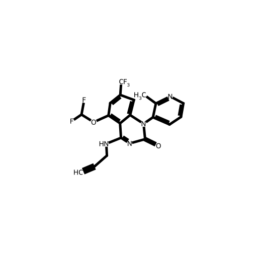 C#CCNc1nc(=O)n(-c2cccnc2C)c2cc(C(F)(F)F)cc(OC(F)F)c12